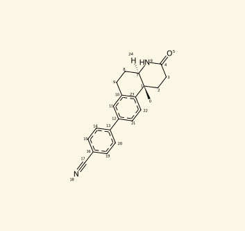 C[C@]12CCC(=O)N[C@@H]1CCc1cc(-c3ccc(C#N)cc3)ccc12